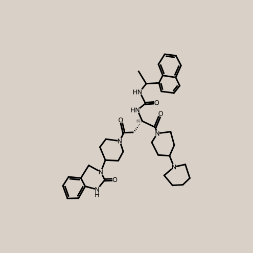 CC(NC(=O)N[C@@H](CC(=O)N1CCC(N2Cc3ccccc3NC2=O)CC1)C(=O)N1CCC(N2CCCCC2)CC1)c1cccc2ccccc12